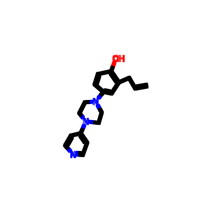 C=CCc1cc(N2CCN(c3ccncc3)CC2)ccc1O